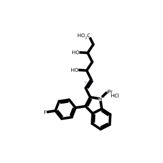 CC(C)n1c(/C=C/C(O)CC(O)CC(=O)O)c(-c2ccc(F)cc2)c2ccccc21.Cl